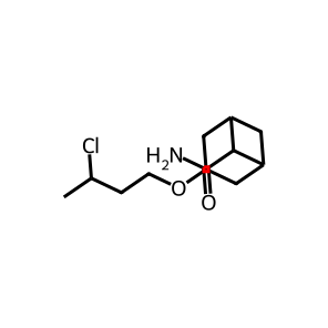 CC(Cl)CCOC1CC2CC(C1)C2C(N)=O